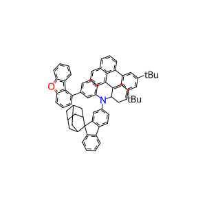 CC(C)(C)c1cc(-c2cccc3cccc(C4=CC=CCC4N(c4cccc(-c5cccc6oc7ccccc7c56)c4)c4ccc5c(c4)C4(c6ccccc6-5)C5CC6CC(C5)CC4C6)c23)cc(C(C)(C)C)c1